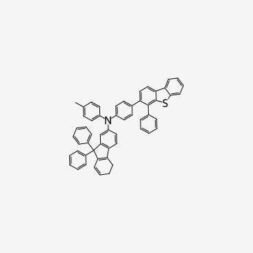 Cc1ccc(N(c2ccc(-c3ccc4c(sc5ccccc54)c3-c3ccccc3)cc2)c2ccc3c(c2)C(c2ccccc2)(c2ccccc2)C2=C3CCC=C2)cc1